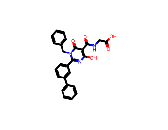 O=C(O)CNC(=O)c1c(O)nc(-c2cccc(-c3ccccc3)c2)n(Cc2ccccc2)c1=O